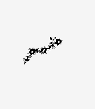 Nc1ccccc1NC(=O)/C=C/c1ccc(NCc2cccc(OCC(F)(F)F)c2)nc1